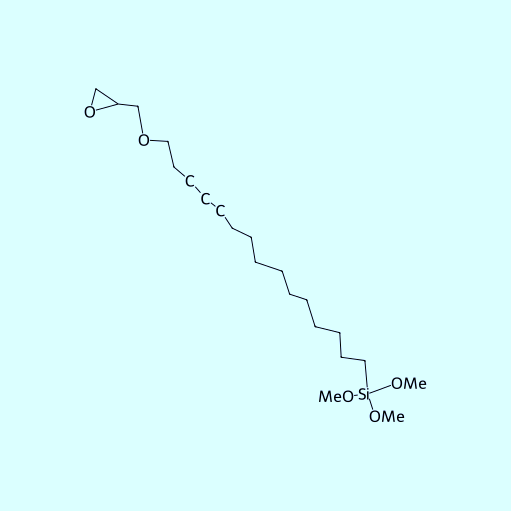 CO[Si](CCCCCCCCCCCCCCCOCC1CO1)(OC)OC